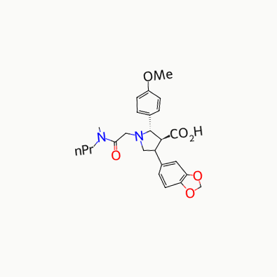 CCCN(C)C(=O)CN1CC(c2ccc3c(c2)OCO3)[C@H](C(=O)O)[C@H]1c1ccc(OC)cc1